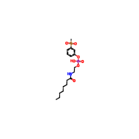 CCCCCCCC(=O)NCCOP(=O)(O)Oc1cccc(S(C)(=O)=O)c1